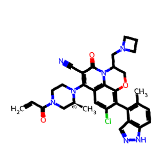 C=CC(=O)N1CCN(c2c(C#N)c(=O)n3c4c(c(-c5c(C)ccc6[nH]ncc56)c(Cl)cc24)OCC3CN2CCC2)[C@@H](C)C1